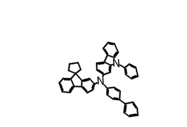 c1ccc(-c2ccc(N(c3ccc4c(c3)C3(CCCC3)c3ccccc3-4)c3ccc4c5ccccc5n(-c5ccccc5)c4c3)cc2)cc1